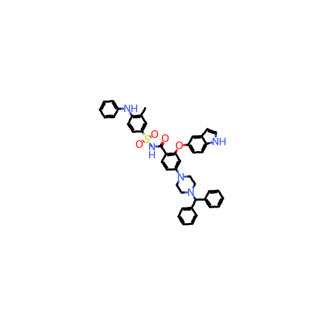 Cc1cc(S(=O)(=O)NC(=O)c2ccc(N3CCN(C(c4ccccc4)c4ccccc4)CC3)cc2Oc2ccc3[nH]ccc3c2)ccc1Nc1ccccc1